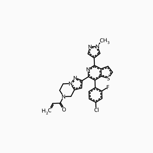 C=CC(=O)N1CCn2nc(-c3nc(-c4cnn(C)c4)c4ccsc4c3-c3ccc(Cl)cc3F)cc2C1